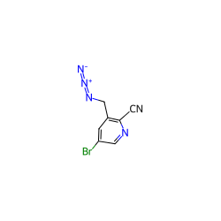 N#Cc1ncc(Br)cc1CN=[N+]=[N-]